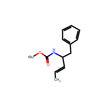 C/C=C/C(Cc1ccccc1)NC(=O)OC(C)(C)C